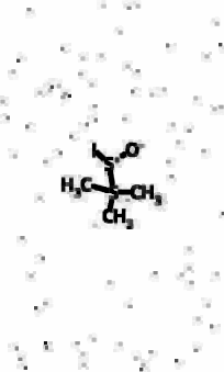 CS(C)(C)[S+]([O-])I